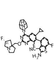 N#Cc1c(N)sc2c(F)ccc(-c3c(C4CC4)cc4c(N5CC6CCC(C5)N6)nc(OC[C@@]56CCCN5C[C@H](F)C6)nc4c3F)c12